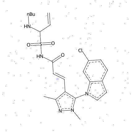 C=CC(NCCCC)S(=O)(=O)NC(=O)/C=C/c1c(C)nn(C)c1-n1ccc2ccc(Cl)cc21